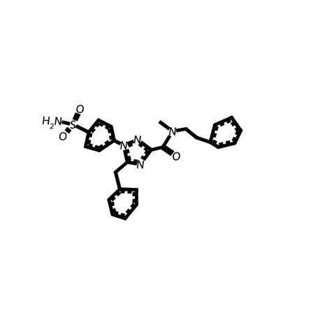 CN(CCc1ccccc1)C(=O)c1nc(Cc2ccccc2)n(-c2ccc(S(N)(=O)=O)cc2)n1